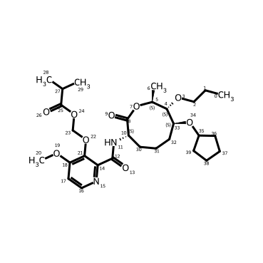 CCCO[C@H]1[C@H](C)OC(=O)[C@@H](NC(=O)c2nccc(OC)c2OCOC(=O)C(C)C)CCC[C@@H]1OC1CCCC1